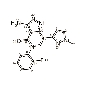 Cn1ccc(-c2cn(-c3ccccc3F)c(=O)c3c(N)n[nH]c23)n1